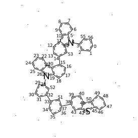 c1ccc(-n2c3ccccc3c3ccc(-c4cccc5c4c4ccccc4n5-c4cccc(-c5cccc(-c6ccc7c(c6)sc6ccccc67)c5)c4)cc32)cc1